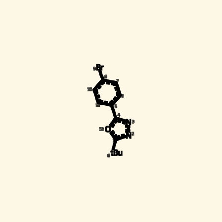 CC(C)(C)c1nnc(-c2ccc(Br)cc2)o1